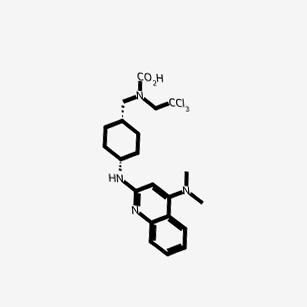 CN(C)c1cc(N[C@H]2CC[C@@H](CN(CC(Cl)(Cl)Cl)C(=O)O)CC2)nc2ccccc12